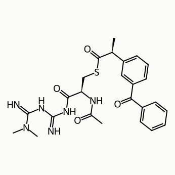 CC(=O)N[C@H](CSC(=O)[C@@H](C)c1cccc(C(=O)c2ccccc2)c1)C(=O)NC(=N)NC(=N)N(C)C